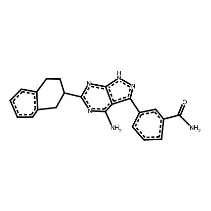 NC(=O)c1cccc(-c2n[nH]c3nc(C4CCc5ccccc5C4)nc(N)c23)c1